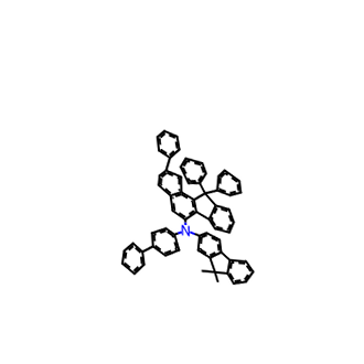 CC1(C)c2ccccc2-c2ccc(N(c3ccc(-c4ccccc4)cc3)c3cc4ccc(-c5ccccc5)cc4c4c3-c3ccccc3C4(c3ccccc3)c3ccccc3)cc21